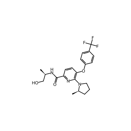 C[C@H](CO)NC(=O)c1ccc(Oc2ccc(C(F)(F)F)cc2)c(N2CCC[C@H]2C)n1